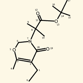 CCC1=C(C)OCN(C(C)(C)C(=O)OC(C)(C)C)C1=O